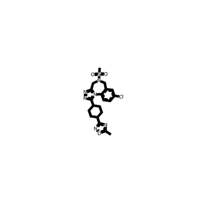 Cc1nc(C2CCC(c3nnc4n3-c3ccc(Cl)cc3CN(S(C)(=O)=O)C4)CC2)no1